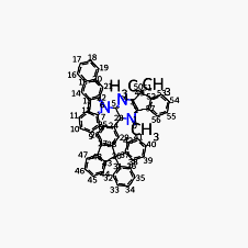 CN1C2=C(N=C(n3c4ccccc4c4cc5ccccc5cc43)C1c1ccc3c(c1)C(c1ccccc1)(c1ccccc1)c1ccccc1-3)C(C)(C)c1ccccc12